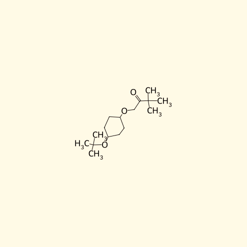 CC(C)(C)OC1CCC(OCC(=O)C(C)(C)C)CC1